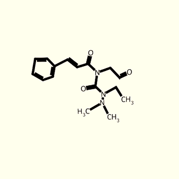 CCN(C(=O)N(C[C]=O)C(=O)C=Cc1ccccc1)N(C)C